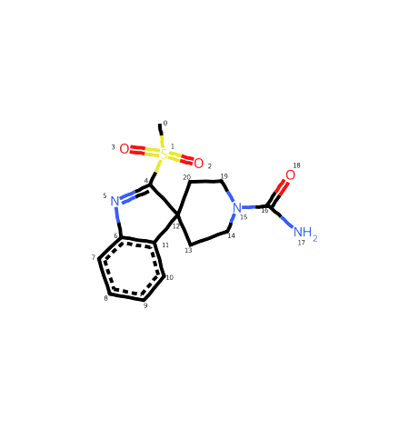 CS(=O)(=O)C1=Nc2ccccc2C12CCN(C(N)=O)CC2